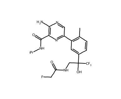 Cc1ccc(C(O)(CNC(=O)CF)C(F)(F)F)cc1-c1cnc(N)c(C(=O)NC(C)C)n1